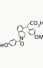 COc1ccc(C(=O)N2CCc3c(cccc3C(CC(=O)O)c3ccc(OC)cc3)C2)cc1